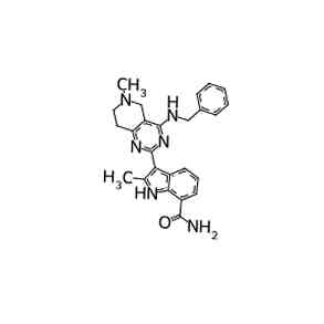 Cc1[nH]c2c(C(N)=O)cccc2c1-c1nc2c(c(NCc3ccccc3)n1)CN(C)CC2